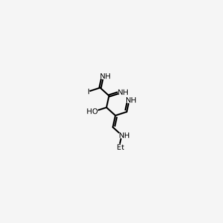 CCN/C=C(\C=N)C(O)C(=N)C(=N)I